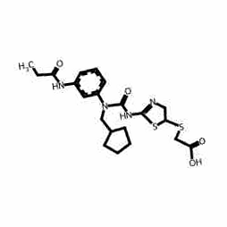 CCC(=O)Nc1cccc(N(CC2CCCC2)C(=O)NC2=NCC(SCC(=O)O)S2)c1